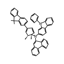 C[C@H]1C=C(c2ccc3c(c2)C(C)(C)c2ccccc2-3)C=C[C@]1(C)N(c1ccc2c3ccccc3n(-c3ccccc3)c2c1)c1cc2ccccc2c2ccccc12